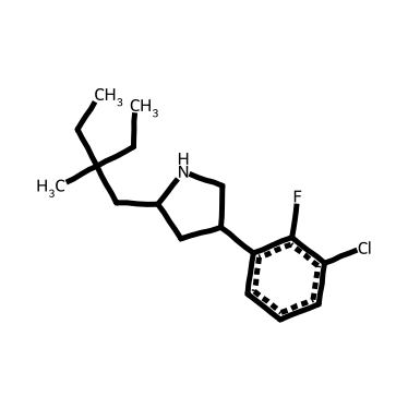 CCC(C)(CC)CC1CC(c2cccc(Cl)c2F)CN1